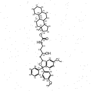 COc1ccc(C(OCCC(O)CCNC(=O)O[C@H]2CCC3C4CCC5CCCC[C@]5(C)C4CCC32C)(c2ccccc2)c2ccc(OC)cc2)cc1